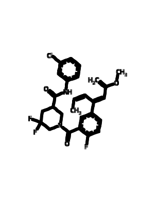 C=C(/C=C(\C=C/C)c1ccc(F)c(C(=O)N2CC(C(=O)Nc3cccc(Cl)c3)CC(F)(F)C2)c1)OC